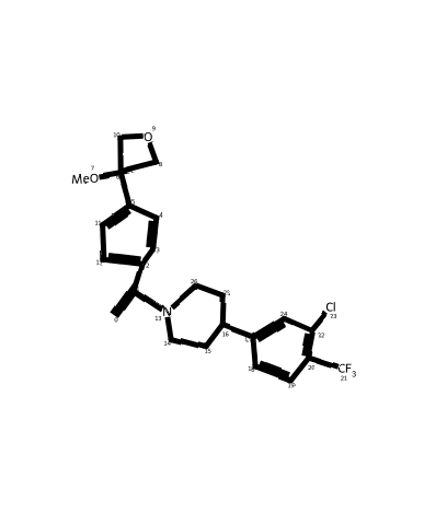 C=C(c1ccc(C2(OC)COC2)cc1)N1CCC(c2ccc(C(F)(F)F)c(Cl)c2)CC1